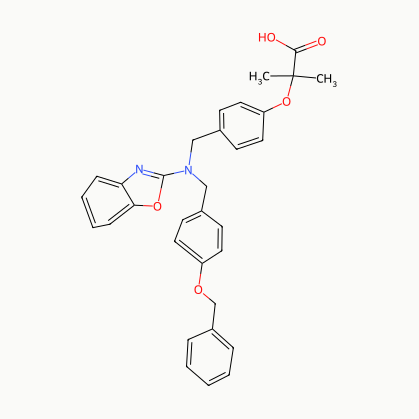 CC(C)(Oc1ccc(CN(Cc2ccc(OCc3ccccc3)cc2)c2nc3ccccc3o2)cc1)C(=O)O